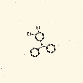 CCc1ccc([S+](c2ccccc2)c2ccccc2)cc1CC